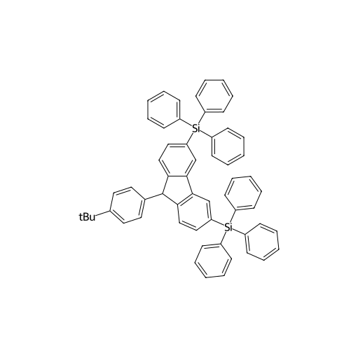 CC(C)(C)c1ccc(C2c3ccc([Si](c4ccccc4)(c4ccccc4)c4ccccc4)cc3-c3cc([Si](c4ccccc4)(c4ccccc4)c4ccccc4)ccc32)cc1